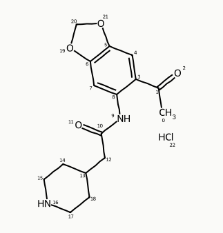 CC(=O)c1cc2c(cc1NC(=O)CC1CCNCC1)OCO2.Cl